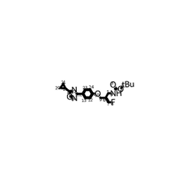 CC(C)(C)OC(=O)NC/C(=C\F)COc1ccc(-c2noc(C3CC3)n2)cc1